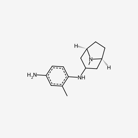 Cc1cc(N)ccc1NC1C[C@H]2CC[C@@H](C1)N2C